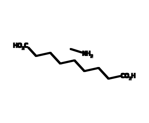 CN.O=C(O)CCCCCCCC(=O)O